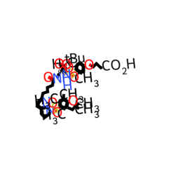 Cc1cc(OCCCC(=O)O)cc(C)c1S(=O)(=O)N[C@H](CNC(=O)CCCCc1ccc2c(n1)N(S(=O)(=O)c1c(C)c(C)c3c(c1C)CC(C)(C)O3)CCC2)C(=O)OC(C)(C)C